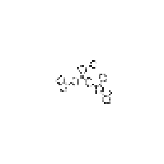 c1ccc(-c2cccc(N(c3ccc(-c4cccc5ccccc45)cc3)c3ccc(-c4nc5c6ccccc6ccc5n4-c4ccccc4)cc3)c2)cc1